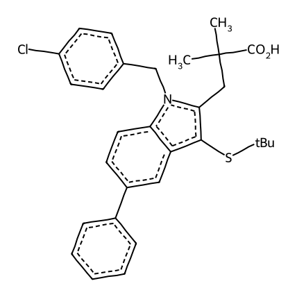 CC(C)(C)Sc1c(CC(C)(C)C(=O)O)n(Cc2ccc(Cl)cc2)c2ccc(-c3ccccc3)cc12